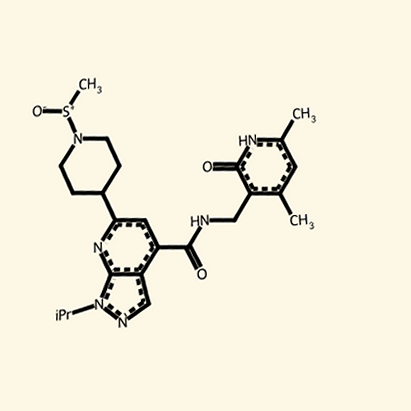 Cc1cc(C)c(CNC(=O)c2cc(C3CCN([S+](C)[O-])CC3)nc3c2cnn3C(C)C)c(=O)[nH]1